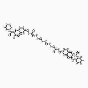 O=C(COc1ccc2cc(C(=O)c3ccccc3)c(=O)oc2c1)OCCOCCOCCOC(=O)COc1ccc2cc(C(=O)c3ccccc3)c(=O)oc2c1